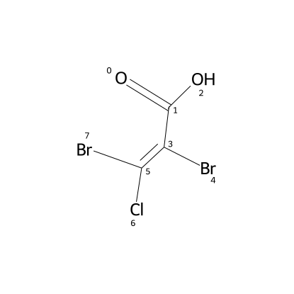 O=C(O)C(Br)=C(Cl)Br